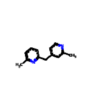 Cc1cc(Cc2cccc(C)n2)ccn1